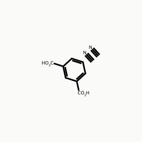 C#N.C#N.O=C(O)c1cccc(C(=O)O)c1